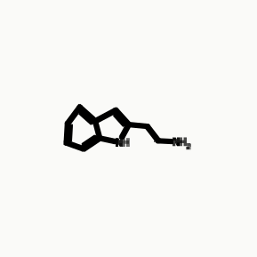 N[CH]Cc1cc2ccccc2[nH]1